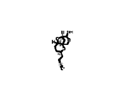 [C-]#[N+]CC[C@H]1CC[C@@H]2O[C@@H]3C[C@]2(COC3O)O1